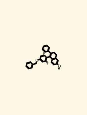 COc1ccc2c(c1)CCC(c1ccccc1)=C2c1c(F)cc(OCc2ccccc2)cc1F